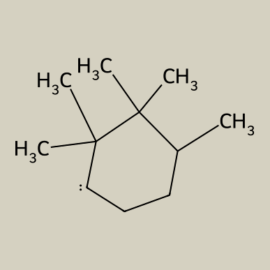 CC1CC[C]C(C)(C)C1(C)C